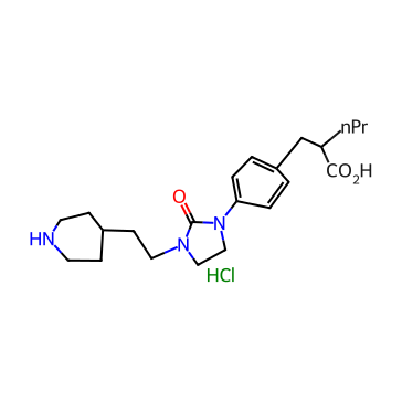 CCCC(Cc1ccc(N2CCN(CCC3CCNCC3)C2=O)cc1)C(=O)O.Cl